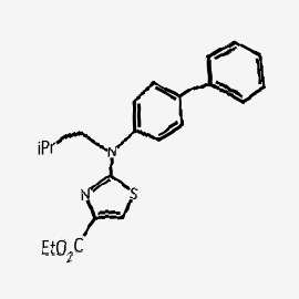 CCOC(=O)c1csc(N(CC(C)C)c2ccc(-c3ccccc3)cc2)n1